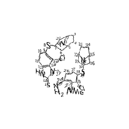 CN1C2CCC1CC(Sc1ccc3[nH]c(=S)n(C)c3c1Cl)C2.CNc1c(N)ccc(SC2CC3CCC(C2)N3C)c1Cl